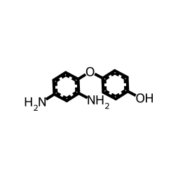 Nc1ccc(Oc2ccc(O)cc2)c(N)c1